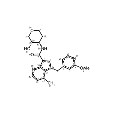 COc1cc(Cn2cc(C(=O)N[C@@H]3CCOC[C@H]3O)c3nccc(C)c32)ccn1